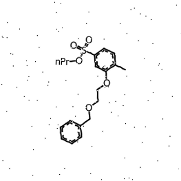 CCCOS(=O)(=O)c1ccc(C)c(OCCOCc2ccccc2)c1